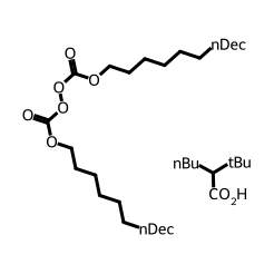 CCCCC(C(=O)O)C(C)(C)C.CCCCCCCCCCCCCCCCOC(=O)OOC(=O)OCCCCCCCCCCCCCCCC